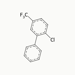 FC(F)(F)c1ccc(Cl)c(-c2ccccc2)c1